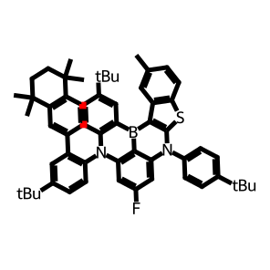 Cc1ccc2sc3c(c2c1)B1c2cc(C(C)(C)C)ccc2N(c2ccc(C(C)(C)C)cc2-c2ccc4c(c2)C(C)(C)CCC4(C)C)c2cc(F)cc(c21)N3c1ccc(C(C)(C)C)cc1